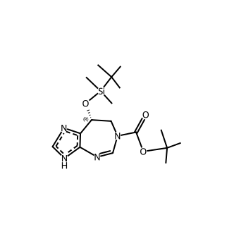 CC(C)(C)OC(=O)N1C=Nc2[nH]cnc2[C@H](O[Si](C)(C)C(C)(C)C)C1